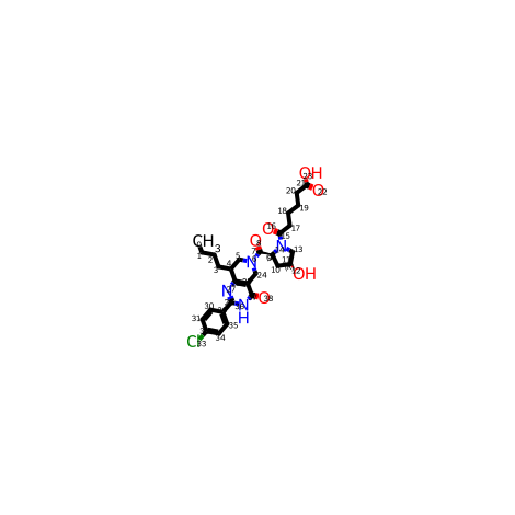 CCCCC1CN(C(=O)[C@@H]2C[C@@H](O)CN2C(=O)CCCCC(=O)O)Cc2c1nc(-c1ccc(Cl)cc1)[nH]c2=O